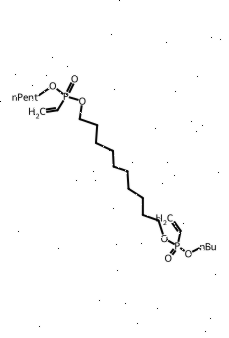 C=CP(=O)(OCCCC)OCCCCCCCCCCOP(=O)(C=C)OCCCCC